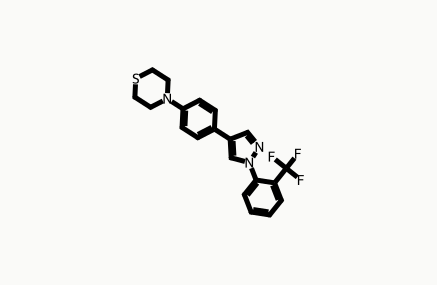 FC(F)(F)c1ccccc1-n1cc(-c2ccc(N3CCSCC3)cc2)cn1